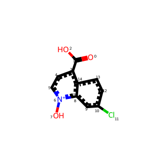 O=C(O)c1cc[n+](O)c2cc(Cl)ccc12